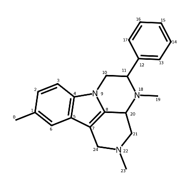 Cc1ccc2c(c1)c1c3n2CC(c2ccccc2)N(C)C3CN(C)C1